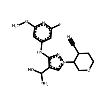 COc1cc(Nc2nn(C3COCCC3C#N)cc2C(N)O)cc(F)n1